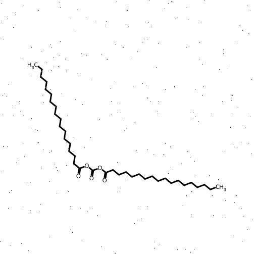 CCCCCCCCCCCCCCCCCC(=O)OC(=O)OC(=O)CCCCCCCCCCCCCCCCC